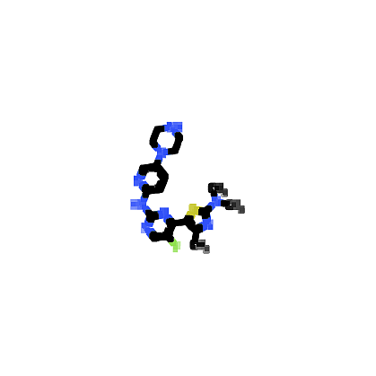 Cc1nc(N(C)C)sc1-c1nc(Nc2ccc(N3CCNCC3)cn2)ncc1F